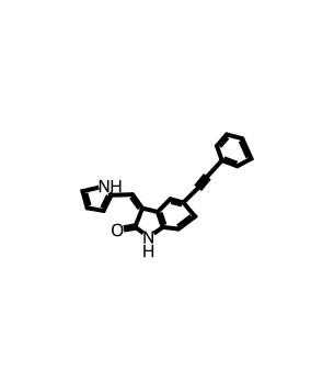 O=C1Nc2ccc(C#Cc3ccccc3)cc2/C1=C/c1ccc[nH]1